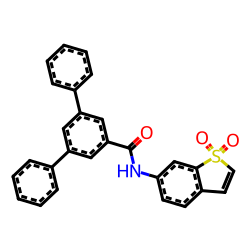 O=C(Nc1ccc2c(c1)S(=O)(=O)C=C2)c1cc(-c2ccccc2)cc(-c2ccccc2)c1